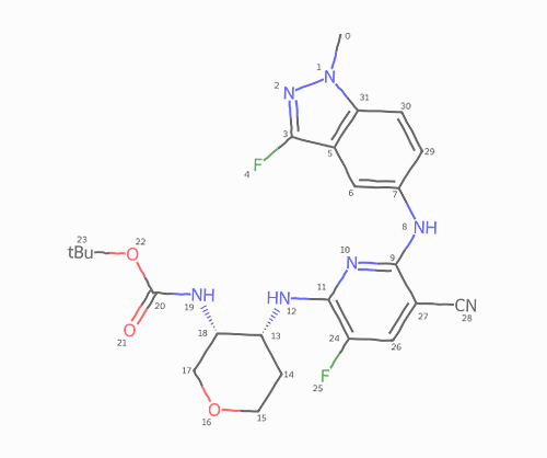 Cn1nc(F)c2cc(Nc3nc(N[C@@H]4CCOC[C@@H]4NC(=O)OC(C)(C)C)c(F)cc3C#N)ccc21